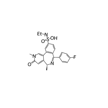 CCN=S(=O)(O)c1ccc2c(c1)-c1cn(C)c(=O)cc1[C@H](C)N=C2c1ccc(F)cc1